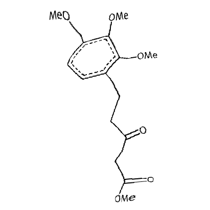 COC(=O)CC(=O)CCc1ccc(OC)c(OC)c1OC